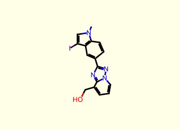 Cn1cc(I)c2cc(-c3nc4c(CO)cccn4n3)ccc21